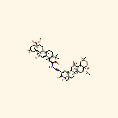 COC(=O)[C@@]12CCC(C)(C)C[C@@H]1[C@@H]1C(=O)C=C3[C@]4(C)C=C(C#CNC5=C[C@]6(C)C7=CC(=O)[C@@H]8[C@@H]9CC(C)(C)CC[C@]9(C(=O)OC)CC[C@@]8(C)[C@]7(C)CC[C@H]6C(C)(C)C5=O)C(=O)C(C)(C)[C@H]4CC[C@]3(C)[C@@]1(C)CC2